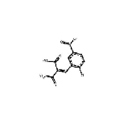 CC(=O)C(=Cc1cc([N+](=O)[O-])ccc1Cl)C(=O)O